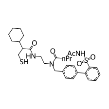 CCCC(=O)N(CCNC(=O)C(CS)C1CCCCC1)Cc1ccc(-c2ccccc2S(=O)(=O)NC(C)=O)cc1